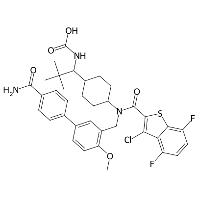 COc1ccc(-c2ccc(C(N)=O)cc2)cc1CN(C(=O)c1sc2c(F)ccc(F)c2c1Cl)C1CCC(C(NC(=O)O)C(C)(C)C)CC1